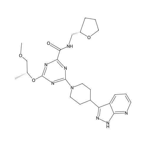 COC[C@@H](C)Oc1nc(C(=O)NC[C@@H]2CCCO2)nc(N2CCC(c3n[nH]c4ncccc34)CC2)n1